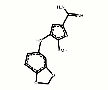 CSc1sc(C(=N)N)cc1Nc1ccc2c(c1)OCO2